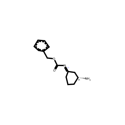 N[C@@H]1CCC/C(=N\C(=O)OCc2ccccc2)C1